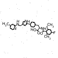 CCc1cc(F)cc(C)c1C(=O)NC(Cc1ccc(-c2cc(CNc3cc(C)ccn3)c[nH]2)cc1)C(=O)O